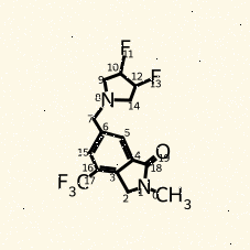 CN1Cc2c(cc(CN3CC(F)C(F)C3)cc2C(F)(F)F)C1=O